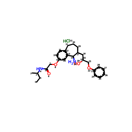 CCC(C)NC(=O)COc1ccc2c(c1)C(N)C(C[C@H](O)COc1ccccc1)CCC2.Cl